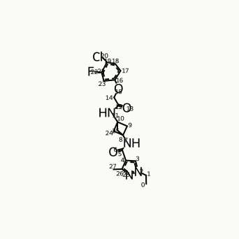 CCn1cc(C(=O)NC23CC(NC(=O)COc4ccc(Cl)c(F)c4)(C2)C3)c(C)n1